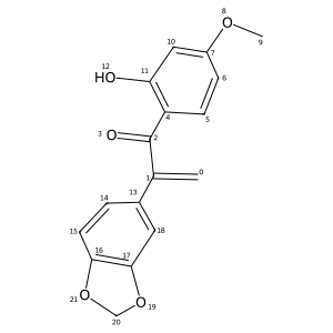 C=C(C(=O)c1ccc(OC)cc1O)c1ccc2c(c1)OCO2